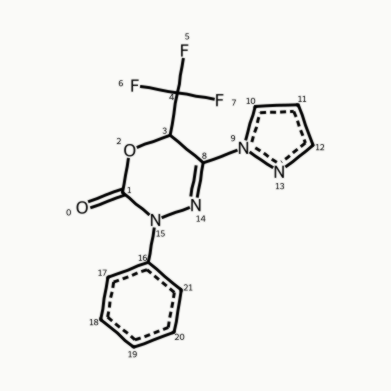 O=C1OC(C(F)(F)F)C(n2cccn2)=NN1c1ccccc1